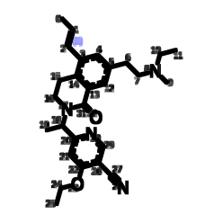 C/C=C/c1cc(CCN(C)CC)cc2c1CCN(C(C)c1cc(OCC)c(C#N)cn1)C2=O